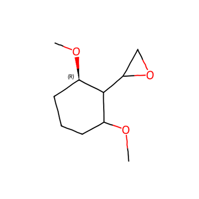 COC1CCC[C@@H](OC)C1C1CO1